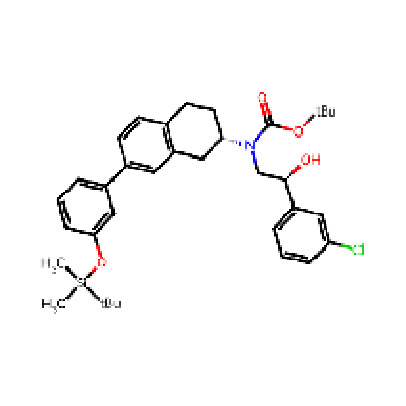 CC(C)(C)OC(=O)N(C[C@@H](O)c1cccc(Cl)c1)[C@H]1CCc2ccc(-c3cccc(O[Si](C)(C)C(C)(C)C)c3)cc2C1